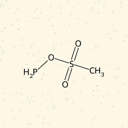 CS(=O)(=O)OP